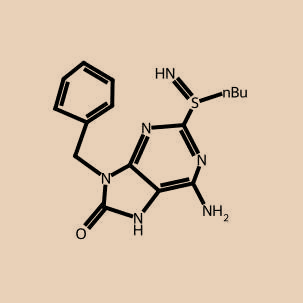 CCCCS(=N)c1nc(N)c2[nH]c(=O)n(Cc3ccccc3)c2n1